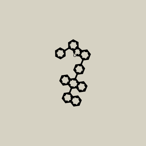 c1ccc(-c2cccc3c2oc2c(-c4ccc(-c5c6ccccc6c(-c6cccc7ccccc67)c6ccccc56)cc4)cccc23)cc1